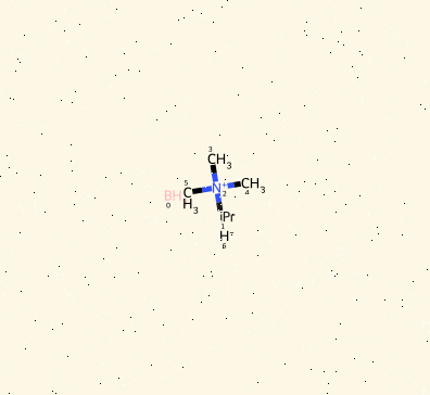 B.CC(C)[N+](C)(C)C.[H-]